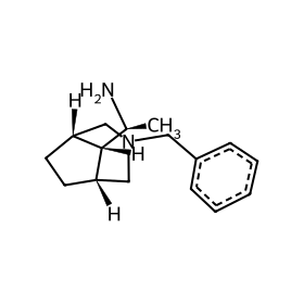 C[C@H](N)[C@H]1[C@@H]2CC[C@H]1CN(Cc1ccccc1)C2